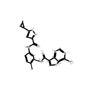 Cc1ccc(NC(=O)c2cc(C3CC3)on2)cc1NC(=O)c1csc2c(N)ncnc12